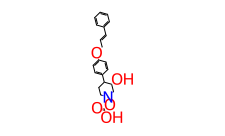 O=C(O)ON1CCC(c2ccc(OC/C=C/c3ccccc3)cc2)C(O)C1